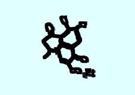 CCOC(=O)c1cn2c3c(c(Cl)c(Cl)cc3c1=O)C(=O)CC2C